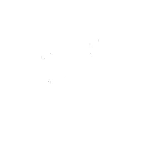 Cn1cc(C=Cc2n[nH]c3ccnc(OC4CCCCC4)c23)cn1